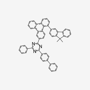 CC1(C)c2ccccc2-c2cc(-c3cccc4c5ccccc5c5cc(-c6nc(-c7ccccc7)nc(-c7ccc(-c8ccccc8)cc7)n6)ccc5c34)ccc21